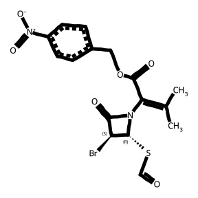 CC(C)=C(C(=O)OCc1ccc([N+](=O)[O-])cc1)N1C(=O)[C@H](Br)[C@H]1SC=O